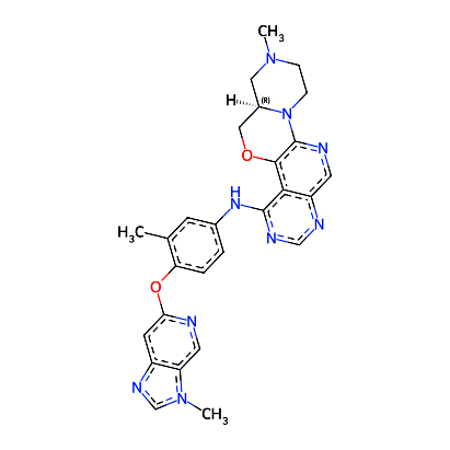 Cc1cc(Nc2ncnc3cnc4c(c23)OC[C@H]2CN(C)CCN42)ccc1Oc1cc2ncn(C)c2cn1